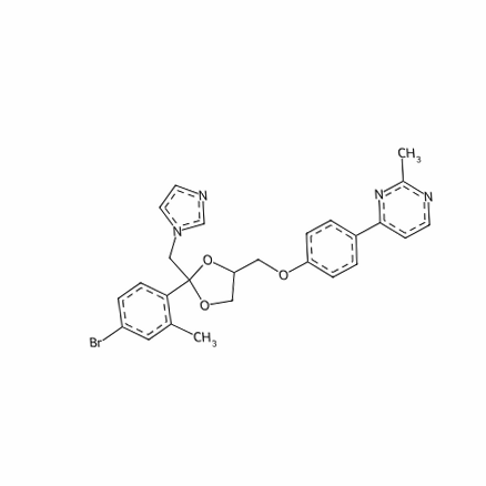 Cc1nccc(-c2ccc(OCC3COC(Cn4ccnc4)(c4ccc(Br)cc4C)O3)cc2)n1